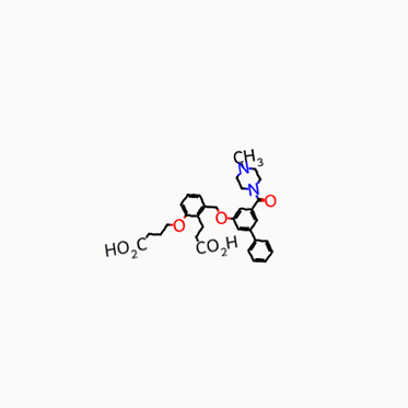 CN1CCN(C(=O)c2cc(OCc3cccc(OCCCC(=O)O)c3CCC(=O)O)cc(-c3ccccc3)c2)CC1